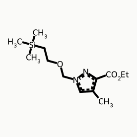 CCOC(=O)c1nn(COCC[Si](C)(C)C)cc1C